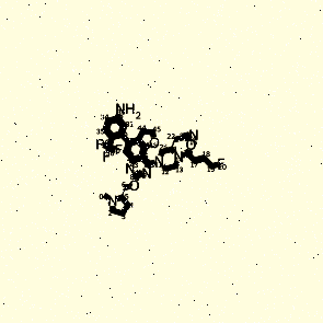 CN1CCC[C@H]1COc1nc(N2CCN(C(=O)/C=C/CF)[C@@H](CC#N)C2)c2c3c(c(-c4cc(N)ccc4C(F)(F)F)cc2n1)CCO3